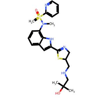 C=S(=O)(c1ccccn1)N(C)c1cccc2cc(C3=NCC(CNCC(C)(C)O)S3)[nH]c12